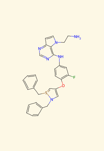 NCCn1ccc2ncnc(Nc3ccc(OC4=CN(Cc5ccccc5)S(Cc5ccccc5)=C4)c(F)c3)c21